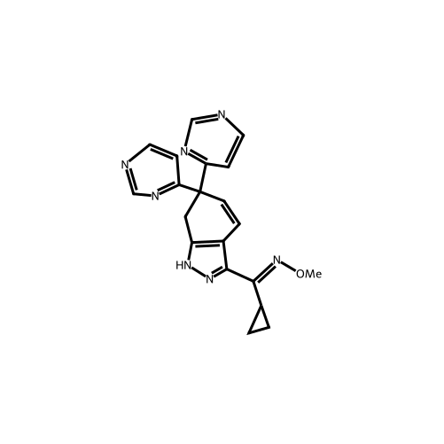 CON=C(c1n[nH]c2c1C=CC(c1ccncn1)(c1ccncn1)C2)C1CC1